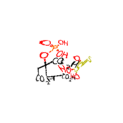 O=C(O)CC(CC(=O)O)(OP(=O)(O)O)C(=O)O.O=S(O)(O)=S